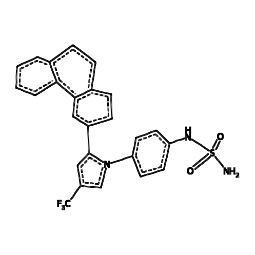 NS(=O)(=O)Nc1ccc(-n2cc(C(F)(F)F)cc2-c2ccc3ccc4ccccc4c3c2)cc1